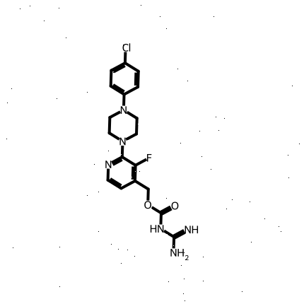 N=C(N)NC(=O)OCc1ccnc(N2CCN(c3ccc(Cl)cc3)CC2)c1F